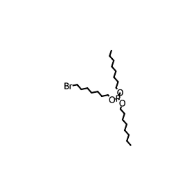 CCCCCCCCOP(OCCCCCCCC)OCCCCCCCBr